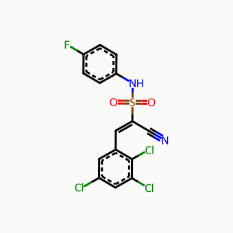 N#C/C(=C\c1cc(Cl)cc(Cl)c1Cl)S(=O)(=O)Nc1ccc(F)cc1